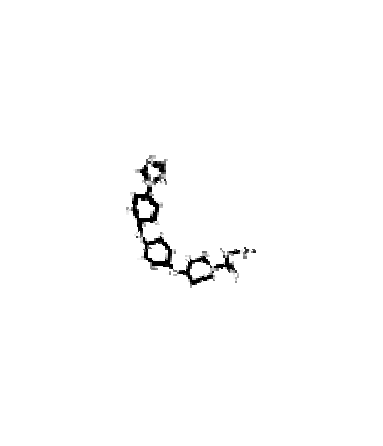 CC(C)(C)OC(=O)N1CCC(OC2CCC(Oc3ccc(-n4cncn4)cc3)CC2)CC1